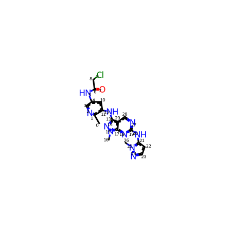 Cc1ncc(NC(=O)CCl)cc1Nc1nn(C)c2nc(Nc3ccnn3C)ncc12